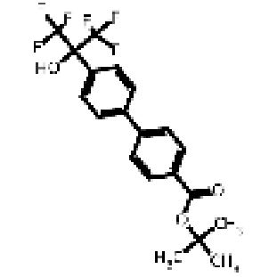 CC(C)(C)OC(=O)c1ccc(-c2ccc(C(O)(C(F)(F)F)C(F)(F)F)cc2)cc1